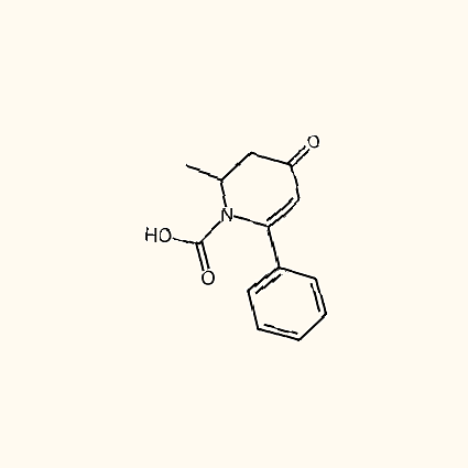 CC1CC(=O)C=C(c2ccccc2)N1C(=O)O